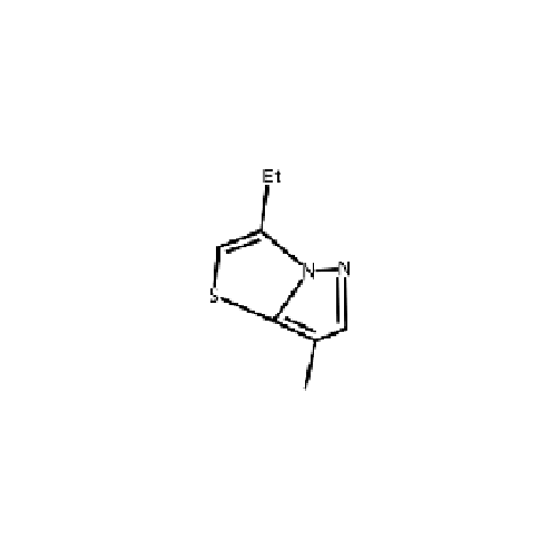 CCc1csc2c(C)cnn12